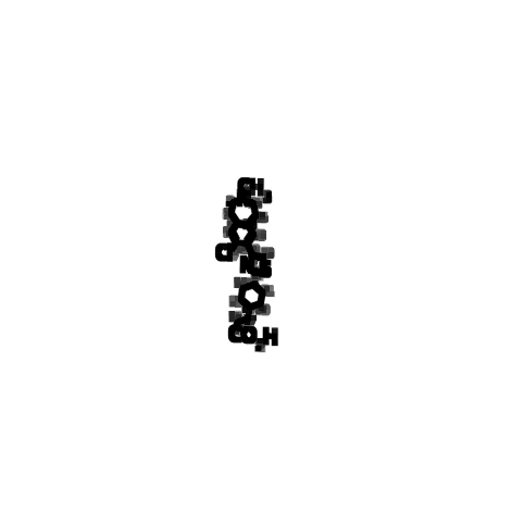 CN1CCc2cc(Cl)c(-c3csc([C@H]4CC[C@H](CCC(=O)O)CC4)n3)cc2CC1